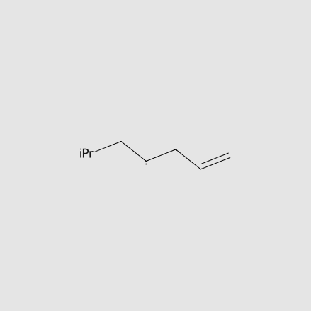 C=CC[CH]CC(C)C